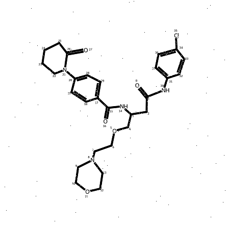 O=C(CC(COCCN1CCOCC1)NC(=O)c1ccc(N2CCCCC2=O)cc1)Nc1ccc(Cl)cc1